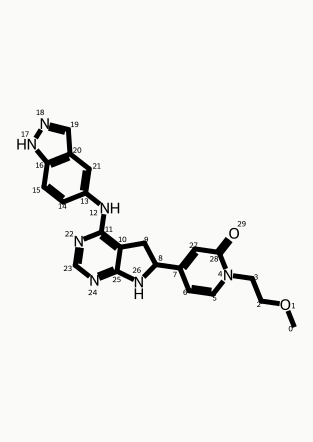 COCCn1ccc(C2Cc3c(Nc4ccc5[nH]ncc5c4)ncnc3N2)cc1=O